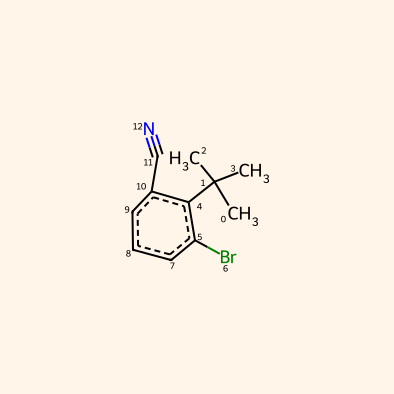 CC(C)(C)c1c(Br)cccc1C#N